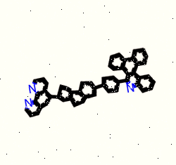 c1cnc2c(c1)cc(-c1ccc3c(ccc4cc(-c5ccc(-c6nc7ccccc7c7c8ccccc8c8ccccc8c67)cc5)ccc43)c1)c1cccnc12